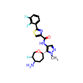 Cn1ncc(NC(=O)c2csc(-c3cccc(F)c3F)n2)c1[C@@H]1CC[C@@H](N)[C@@H](F)CO1